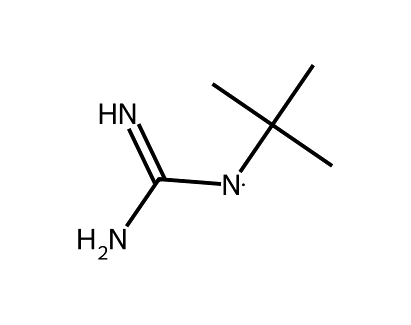 CC(C)(C)[N]C(=N)N